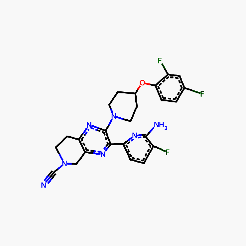 N#CN1CCc2nc(N3CCC(Oc4ccc(F)cc4F)CC3)c(-c3ccc(F)c(N)n3)nc2C1